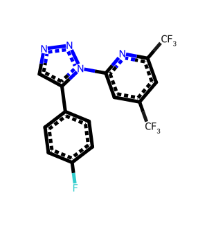 Fc1ccc(-c2cnnn2-c2cc(C(F)(F)F)cc(C(F)(F)F)n2)cc1